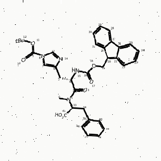 CN(C(=O)[C@H](Cc1cn(C(=O)OC(C)(C)C)cn1)NC(=O)OCC1c2ccccc2-c2ccccc21)[C@@H](Cc1ccccc1)C(=O)O